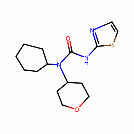 O=C(Nc1nccs1)N(C1CCCCC1)C1CCOCC1